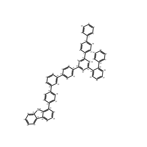 c1ccc(-c2ccc(-c3nc(-c4ccc(-c5cccc(-c6ccc(-c7cccc8c7sc7ccccc78)cc6)c5)cc4)nc(-c4ccccc4-c4ccccc4)n3)cc2)cc1